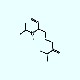 C=CC(CSCC(=C)C(C)C)N(C)C(C)C